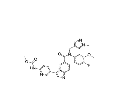 COC(=O)Nc1ccc(-c2cnc3ccc(C(=O)N(Cc4cnn(C)c4)c4ccc(F)c(OC)c4)cn23)cn1